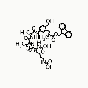 CC(C)[C@H](NC(=O)[C@H](CCCCNC(=O)O)NC(=O)O)C(=O)N[C@@H](C)C(=O)Nc1ccc(CO)c(CN(C)C(=O)OCC2c3ccccc3-c3ccccc32)c1